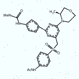 CNC(=O)Nc1ccc(-c2nc(CS(=O)(=O)c3ccc(NC(C)=O)cc3)cc(N3CCOC[C@@H]3C)n2)cc1